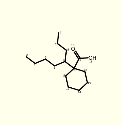 CCCCC(CCC)C1(C(=O)O)CCCCC1